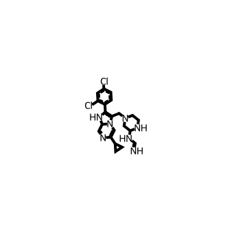 N=CNC1CN(CC2=C(c3ccc(Cl)cc3Cl)NC3C=NC(C4CC4)=CN23)CCN1